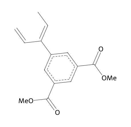 C=C/C(=C\C)c1cc(C(=O)OC)cc(C(=O)OC)c1